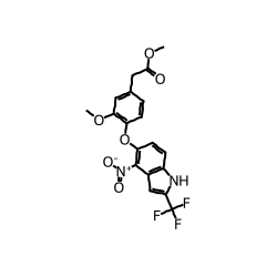 COC(=O)Cc1ccc(Oc2ccc3[nH]c(C(F)(F)F)cc3c2[N+](=O)[O-])c(OC)c1